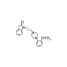 COc1ccccc1N1CCN(CCCN2C(=O)Cc3ccccc32)CC1